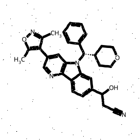 Cc1noc(C)c1-c1cnc2c3ccc(C(O)CC#N)cc3n([C@H](c3ccccc3)C3CCOCC3)c2c1